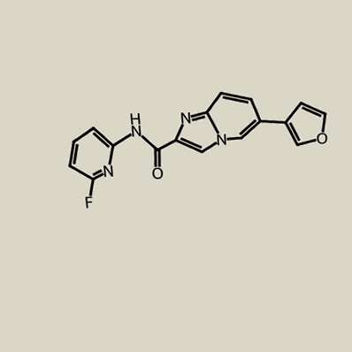 O=C(Nc1cccc(F)n1)c1cn2cc(-c3ccoc3)ccc2n1